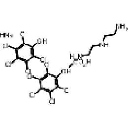 CC(=O)O.NCCNCCN.Oc1c(Cl)c(Cl)c(Cl)c(Cl)c1Cl.Oc1c(Cl)c(Cl)c(Cl)c(Cl)c1Cl.[NaH]